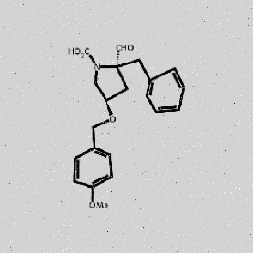 COc1ccc(CO[C@H]2CN(C(=O)O)[C@@](C=O)(Cc3ccccc3)C2)cc1